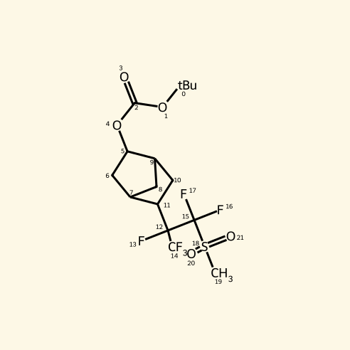 CC(C)(C)OC(=O)OC1CC2CC1CC2C(F)(C(F)(F)F)C(F)(F)S(C)(=O)=O